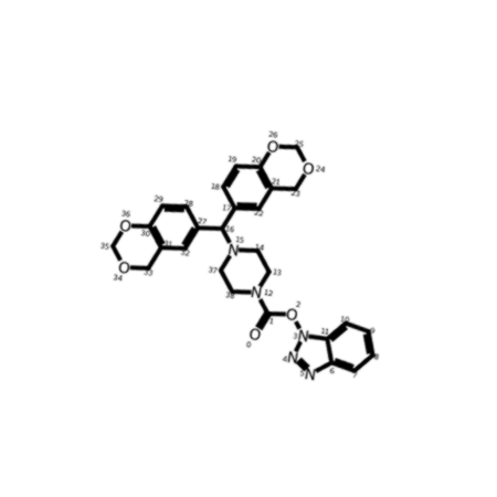 O=C(On1nnc2ccccc21)N1CCN(C(c2ccc3c(c2)COCO3)c2ccc3c(c2)COCO3)CC1